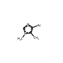 CC(=O)c1ncn(C)c1C